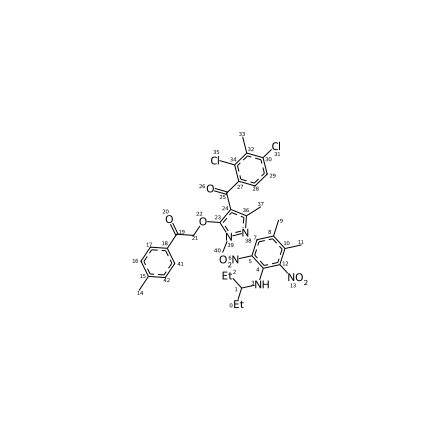 CCC(CC)Nc1c([N+](=O)[O-])cc(C)c(C)c1[N+](=O)[O-].Cc1ccc(C(=O)COc2c(C(=O)c3ccc(Cl)c(C)c3Cl)c(C)nn2C)cc1